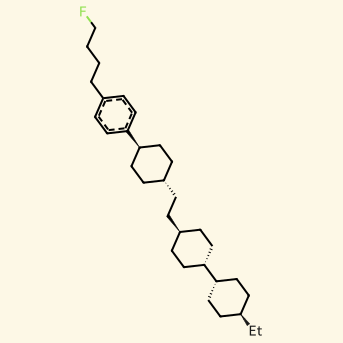 CC[C@H]1CC[C@H]([C@H]2CC[C@H](CC[C@H]3CC[C@H](c4ccc(CCCCF)cc4)CC3)CC2)CC1